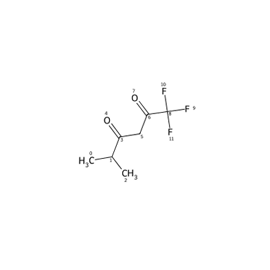 CC(C)C(=O)CC(=O)C(F)(F)F